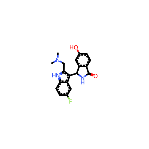 CN(C)Cc1[nH]c2ccc(F)cc2c1C1NC(=O)c2ccc(O)cc21